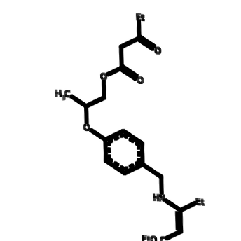 CCOC(=O)/C=C(/CC)NCc1ccc(OC(C)COC(=O)CC(=O)CC)cc1